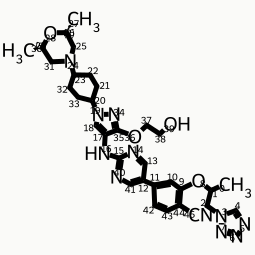 CC(Cn1cnnn1)Oc1cc(-c2cnc(Nc3cn(C4CCC(N5C[C@@H](C)O[C@@H](C)C5)CC4)nc3OCCO)nc2)ccc1C#N